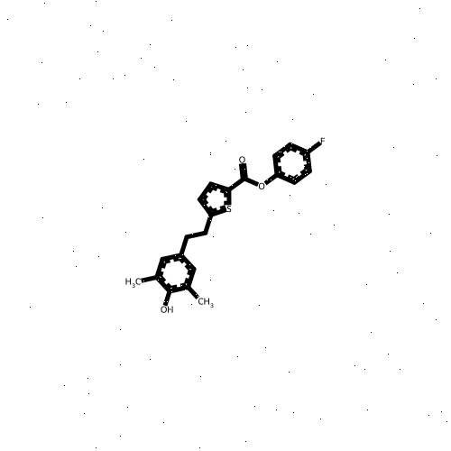 Cc1cc(CCc2ccc(C(=O)Oc3ccc(F)cc3)s2)cc(C)c1O